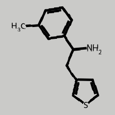 Cc1cccc(C(N)Cc2ccsc2)c1